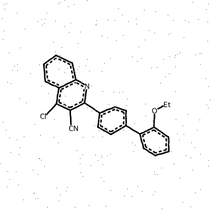 CCOc1ccccc1-c1ccc(-c2nc3ccccc3c(Cl)c2C#N)cc1